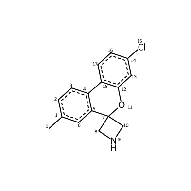 Cc1ccc2c(c1)C1(CNC1)Oc1cc(Cl)ccc1-2